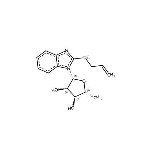 C=CCNc1nc2ccccc2n1[C@@H]1O[C@H](C)[C@@H](O)[C@H]1O